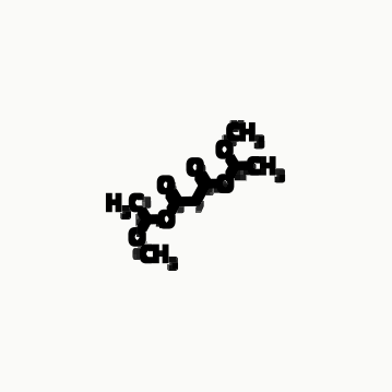 COC(C)OC(=O)CC(=O)OC(C)OC